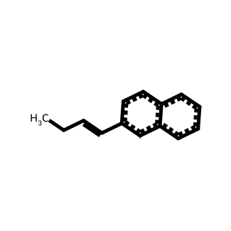 CCC=Cc1[c]c2ccccc2cc1